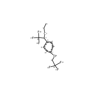 CCCC(c1ccc(OCC(F)(F)F)cc1)C(F)(F)F